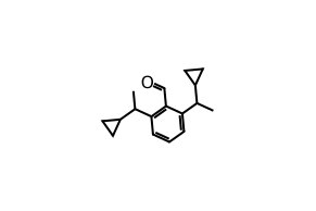 CC(c1cccc(C(C)C2CC2)c1C=O)C1CC1